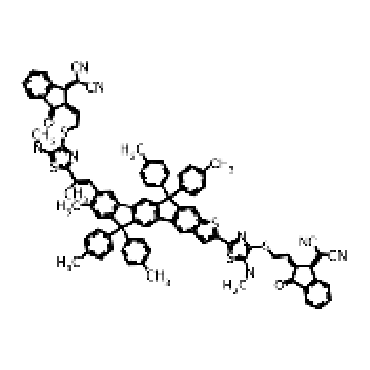 C=Nc1sc(/C(C)=C/c2cc3c(cc2C)C(c2ccc(C)cc2)(c2ccc(C)cc2)c2cc4c(cc2-3)C(c2ccc(C)cc2)(c2ccc(C)cc2)c2cc3sc(-c5nc(SC/C=C6\C(=O)c7ccccc7C6=C(C#N)C#N)c(N=C)s5)cc3cc2-4)nc1SC/C=C1\C(=O)c2ccccc2C1=C(C#N)C#N